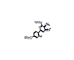 C/N=C1/C=C(c2ccc(OC)cc2F)N=C(NC)/C1=N/C